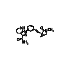 CN1CC2C[C@]2(C#Cc2cccc(-n3nc(C(N)=O)c4c3NCCC4)c2)C1=O